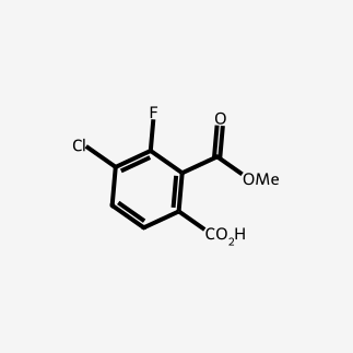 COC(=O)c1c(C(=O)O)ccc(Cl)c1F